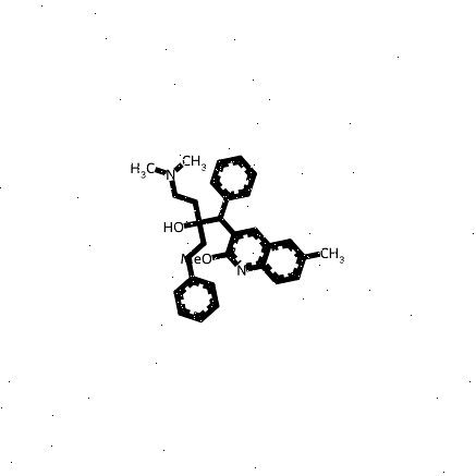 COc1nc2ccc(C)cc2cc1C(c1ccccc1)C(O)(CCc1ccccc1)CCN(C)C